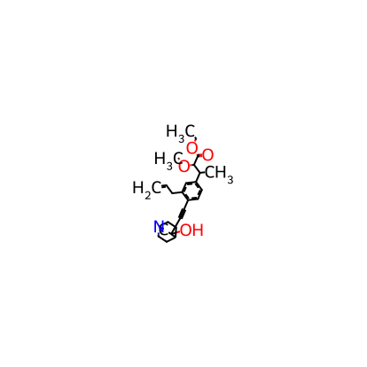 C=CCc1cc(C(C)C(OC)C(=O)OCC)ccc1C#CC1(O)CN2CCC1CC2